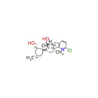 C[C@H]1CC[C@](C)([C@H]2CC[C@]3(C)c4nc(Cl)ccc4C[C@H]3[C@@H]2CO)[C@@H](CO)C1